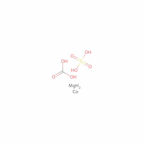 O=C(O)O.O=S(=O)(O)O.[Co].[MgH2]